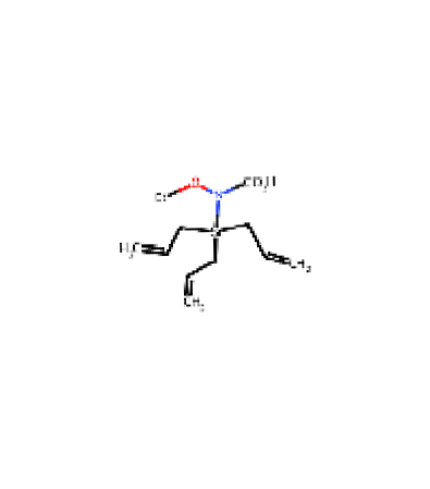 C=CC[Si](CC=C)(CC=C)N(OCC)C(=O)O